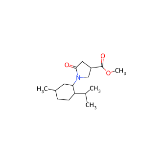 COC(=O)C1CC(=O)N(C2CC(C)CCC2C(C)C)C1